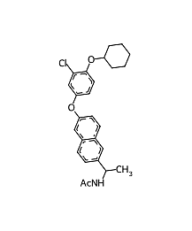 CC(=O)NC(C)c1ccc2cc(Oc3ccc(OC4CCCCC4)c(Cl)c3)ccc2c1